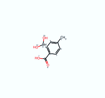 Cc1ccc(C(=O)O)cc1.OBO